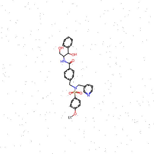 CCOc1ccc(S(=O)(=O)N(Cc2ccc(C(=O)NC(CO)C(O)c3ccccc3)cc2)Cc2cccnc2)cc1